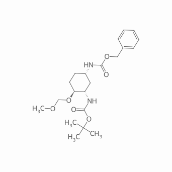 COCO[C@H]1CC[C@H](NC(=O)OCc2ccccc2)C[C@@H]1NC(=O)OC(C)(C)C